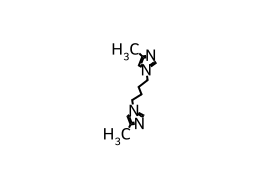 Cc1cn(CCCCn2cnc(C)c2)cn1